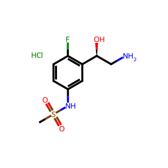 CS(=O)(=O)Nc1ccc(F)c([C@@H](O)CN)c1.Cl